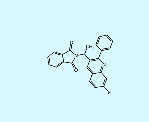 CC(c1cc2ccc(F)cc2nc1-c1ccccc1)N1C(=O)c2ccccc2C1=O